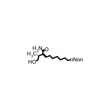 CCCCCCCCCCCCCCCC=C(C(N)=O)[C@@H](C)CO